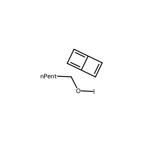 CCCCCCOI.c1cc2ccc1-2